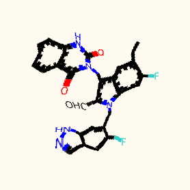 Cc1cc2c(-n3c(=O)[nH]c4ccccc4c3=O)c(C=O)n(CC3=CC4NN=CC4C=C3F)c2cc1F